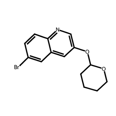 Brc1ccc2ncc(OC3CCCCO3)cc2c1